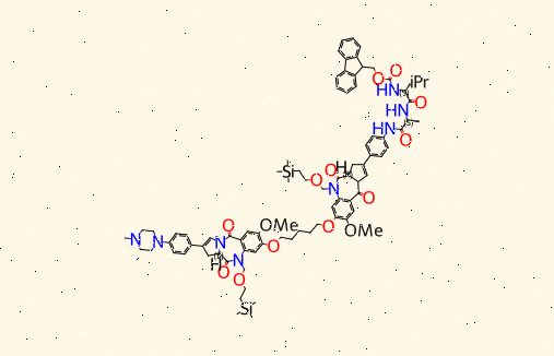 COc1cc2c(cc1OCCCCCOc1cc3c(cc1OC)C(=O)N1C=C(c4ccc(N5CCN(C)CC5)cc4)C[C@H]1C(=O)N3COCC[Si](C)(C)C)N(COCC[Si](C)(C)C)C(=O)[C@@H]1CC(c3ccc(NC(=O)[C@H](C)NC(=O)[C@@H](NC(=O)OCC4c5ccccc5-c5ccccc54)C(C)C)cc3)=CC1C2=O